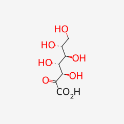 O=C(O)C(=O)[C@H](O)[C@H](O)[C@H](O)[C@H](O)CO